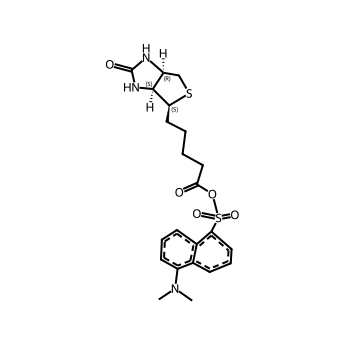 CN(C)c1cccc2c(S(=O)(=O)OC(=O)CCCC[C@@H]3SC[C@@H]4NC(=O)N[C@@H]43)cccc12